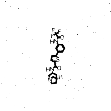 O=C(N[C@@H]1C[C@H]2CCN(C2)C1)c1ccc(-c2cccc(NC(=O)C(F)(F)F)c2)s1